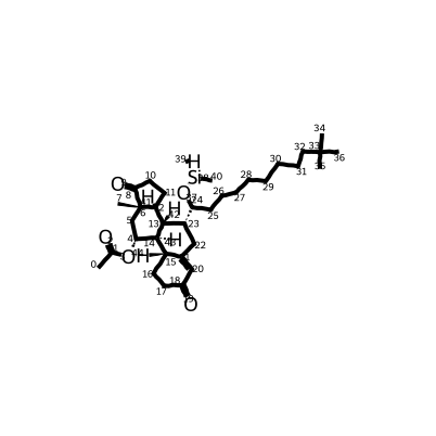 CC(=O)O[C@@H]1C[C@]2(C)C(=O)CC[C@H]2[C@H]2[C@H]1[C@H]1CCC(=O)C=C1C[C@H]2C(CCCCCCCCC(C)(C)C)O[SiH](C)C